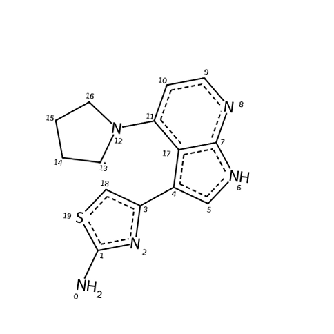 Nc1nc(-c2c[nH]c3nccc(N4[CH]CCC4)c23)cs1